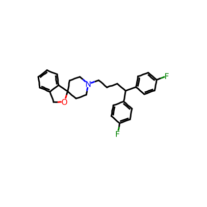 Fc1ccc(C(CCCN2CCC3(CC2)OCc2ccccc23)c2ccc(F)cc2)cc1